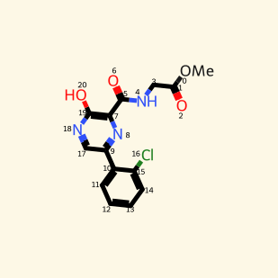 COC(=O)CNC(=O)c1nc(-c2ccccc2Cl)cnc1O